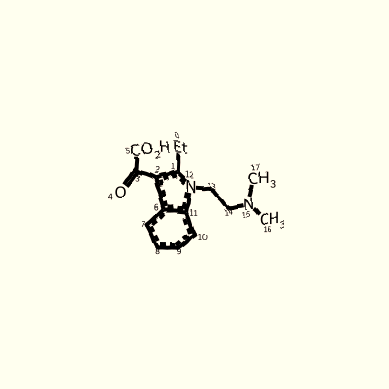 CCc1c(C(=O)C(=O)O)c2ccccc2n1CCN(C)C